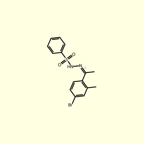 C/C(=N/NS(=O)(=O)c1ccccc1)c1ccc(Br)cc1C